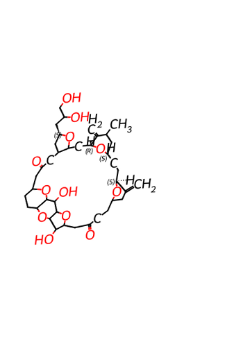 C=C1CC2CCC(=O)CC3OC4C(O)C5OC(CCC5OC4C3O)CC(=O)CC3C[C@@H](CC(O)CO)OC3C[C@H]3O[C@@H](CC[C@@H]1O2)CC(C)C3=C